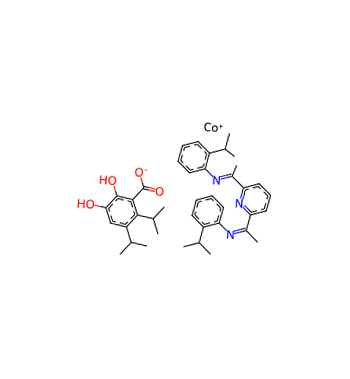 CC(=Nc1ccccc1C(C)C)c1cccc(C(C)=Nc2ccccc2C(C)C)n1.CC(C)c1cc(O)c(O)c(C(=O)[O-])c1C(C)C.[Co+]